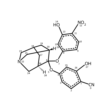 N#Cc1ccc(OC2(Oc3ccc([N+](=O)[O-])c(O)c3)[C@@H]3CC4C[C@H]2CN(C4)C3)cc1O